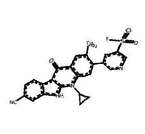 CC(C)COc1cc2c(=O)c3c4ccc(C#N)cc4[nH]c3n(C3CC3)c2cc1-c1cncc(S(=O)(=O)F)c1